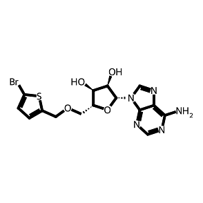 Nc1ncnc2c1ncn2[C@@H]1O[C@H](COCc2ccc(Br)s2)[C@@H](O)[C@H]1O